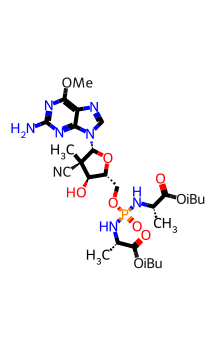 COc1nc(N)nc2c1ncn2[C@@H]1O[C@H](COP(=O)(N[C@@H](C)C(=O)OCC(C)C)N[C@@H](C)C(=O)OCC(C)C)[C@@H](O)[C@@]1(C)C#N